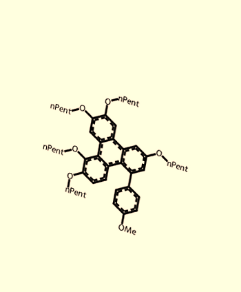 CCCCCOc1cc(-c2ccc(OC)cc2)c2c(c1)c1cc(OCCCCC)c(OCCCCC)cc1c1c(OCCCCC)c(OCCCCC)ccc21